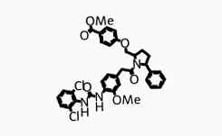 COC(=O)c1ccc(OCC2CCC(c3ccccc3)N2C(=O)Cc2ccc(NC(=O)Nc3c(Cl)cccc3Cl)c(OC)c2)cc1